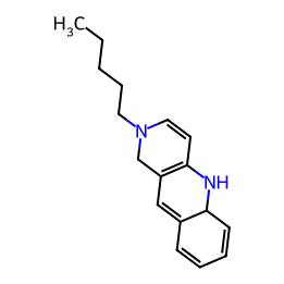 CCCCCN1C=CC2=C(C=C3C=CC=CC3N2)C1